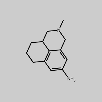 CN1Cc2cc(N)cc3c2C(CCC3)C1